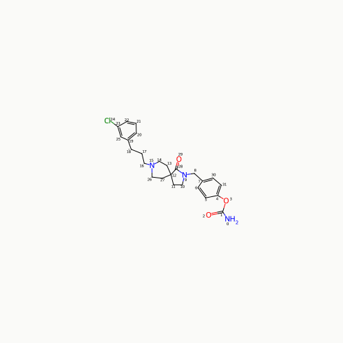 NC(=O)Oc1ccc(CN2CCC3(CCN(CC[CH]c4cccc(Cl)c4)CC3)C2=O)cc1